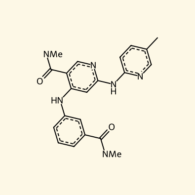 CNC(=O)c1cccc(Nc2cc(Nc3ccc(C)cn3)ncc2C(=O)NC)c1